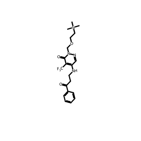 C[Si](C)(C)CCOCn1ncc(NCCC(=O)c2ccccc2)c(C(F)(F)F)c1=O